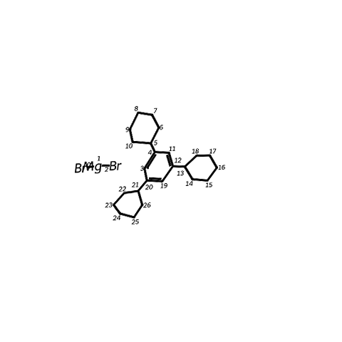 [Br][Mg][Br].[c]1c(C2CCCCC2)cc(C2CCCCC2)cc1C1CCCCC1